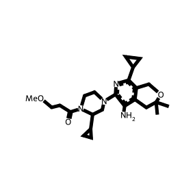 COCCC(=O)N1CCN(c2nc(C3CC3)c3c(c2N)CC(C)(C)OC3)CC1C1CC1